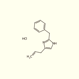 C=CCc1c[nH]c(Cc2ccccc2)n1.Cl